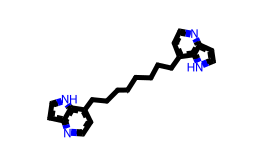 [CH](CCCCc1ccnc2cc[nH]c12)CCCc1ccnc2cc[nH]c12